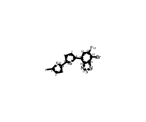 Cc1ccc(-c2ccc(-c3cc(F)c(Br)c4nsnc34)s2)s1